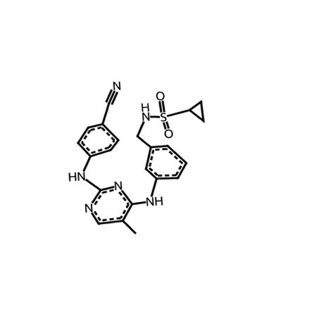 Cc1cnc(Nc2ccc(C#N)cc2)nc1Nc1cccc(CNS(=O)(=O)C2CC2)c1